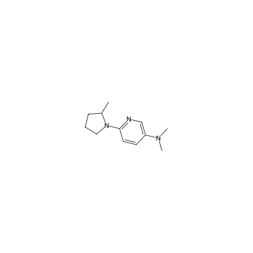 CC1CCCN1c1ccc(N(C)C)cn1